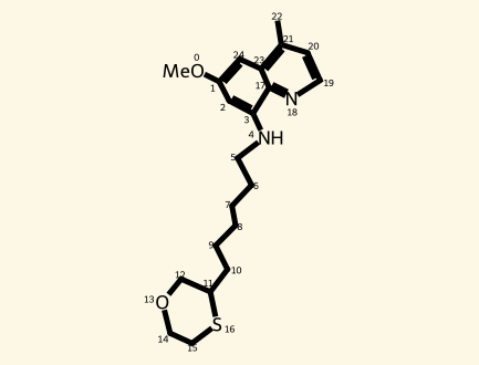 COc1cc(NCCCCCCC2COCCS2)c2nccc(C)c2c1